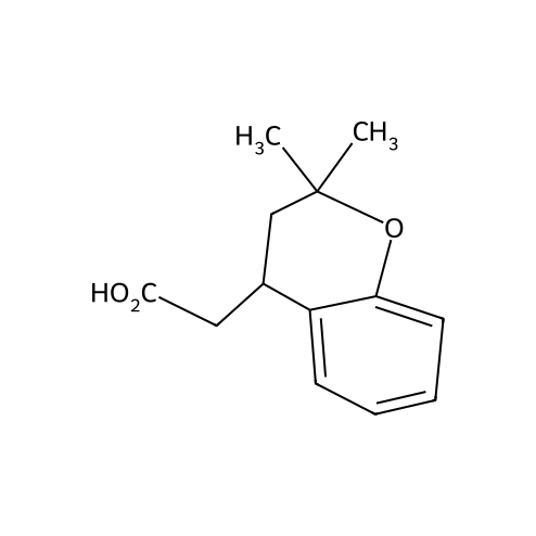 CC1(C)CC(CC(=O)O)c2ccccc2O1